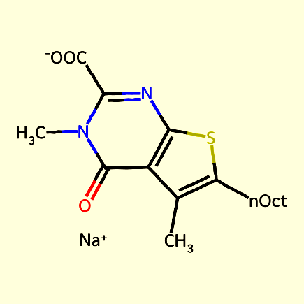 CCCCCCCCc1sc2nc(C(=O)[O-])n(C)c(=O)c2c1C.[Na+]